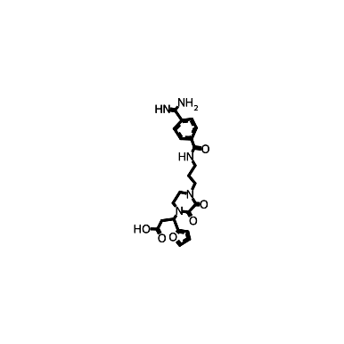 N=C(N)c1ccc(C(=O)NCCCN2CCN(C(CC(=O)O)c3ccco3)C(=O)C2=O)cc1